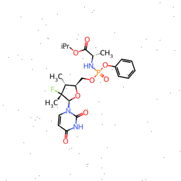 CC(C)OC(=O)[C@H](C)NP(=O)(OC[C@H]1O[C@@H](n2ccc(=O)[nH]c2=O)[C@](C)(F)[C@@H]1C)Oc1ccccc1